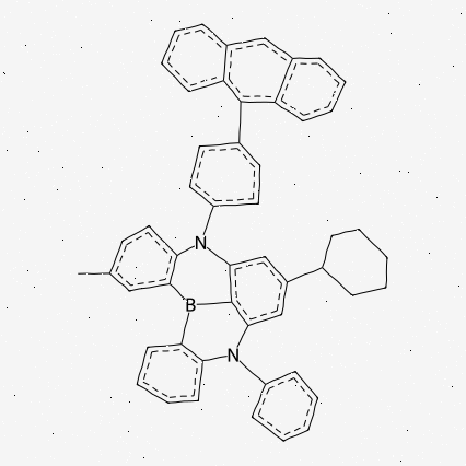 Cc1ccc2c(c1)B1c3ccccc3N(c3ccccc3)c3cc(C4CCCCC4)cc(c31)N2c1ccc(-c2c3ccccc3cc3ccccc23)cc1